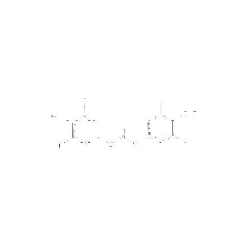 O=Cc1c(F)cc(OBOc2cc(F)c(C=O)c(F)c2)cc1F